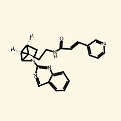 O=C(/C=C/c1cccnc1)NCC[C@@]12C3[C@H]1[C@H]2CN3c1ncc2ccccc2n1